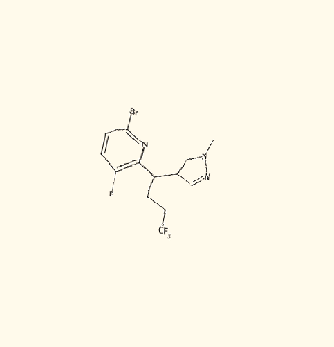 CN1CC(C(CCC(F)(F)F)c2nc(Br)ccc2F)C=N1